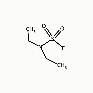 CCN(CC)S(=O)(=O)F